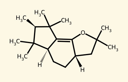 C[C@H]1C(C)(C)C2=C3OC(C)(C)C[C@@H]3CC[C@H]2C1(C)C